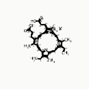 CCC1=C(C)c2cc3[nH]c(cc4nc(cc5[nH]c(cc1n2)c(C)c5CCC(=O)O)C(CCC(=O)O)=C4C)c(C)c3CC.[V]